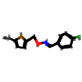 O=C(O)c1ccc(CON=Cc2ccc(Cl)cc2)s1